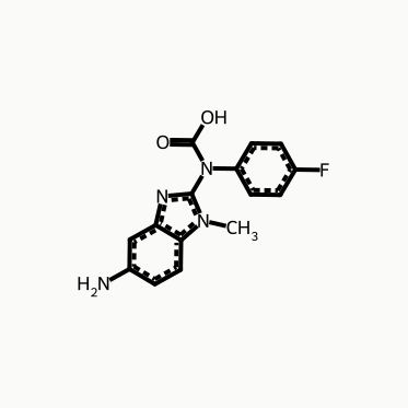 Cn1c(N(C(=O)O)c2ccc(F)cc2)nc2cc(N)ccc21